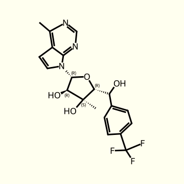 Cc1ncnc2c1ccn2[C@@H]1O[C@H](C(O)c2ccc(C(F)(F)F)cc2)[C@@](C)(O)[C@H]1O